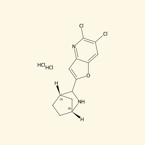 Cl.Cl.Clc1cc2oc(C3N[C@@H]4CC[C@H]3C4)cc2nc1Cl